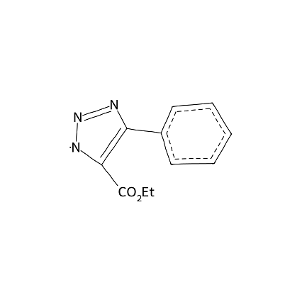 CCOC(=O)C1=C(c2ccccc2)N=N[N]1